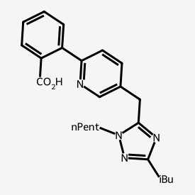 CCCCCn1nc(C(C)CC)nc1Cc1ccc(-c2ccccc2C(=O)O)nc1